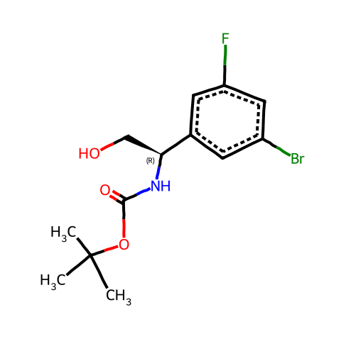 CC(C)(C)OC(=O)N[C@@H](CO)c1cc(F)cc(Br)c1